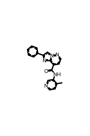 Cc1ccncc1NC(=O)c1ccnn2cc(-c3ccccc3)nc12